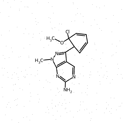 COC1(Cl)C=CC=CC1c1nn(C)c2nc(N)ncc12